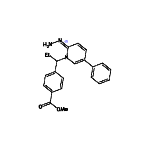 CCC(c1ccc(C(=O)OC)cc1)n1cc(-c2ccccc2)cc/c1=N/N